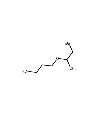 CCCCCC(C)OCCCN